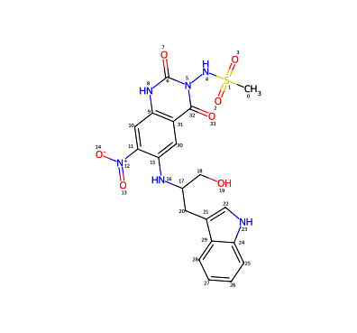 CS(=O)(=O)Nn1c(=O)[nH]c2cc([N+](=O)[O-])c(NC(CO)Cc3c[nH]c4ccccc34)cc2c1=O